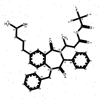 CC(CC(=O)OC(=O)C(F)(F)F)N1C(=O)c2cc(CCCC(N)S)ccc2N(Cc2ccccc2)C(=O)C1c1ccccc1